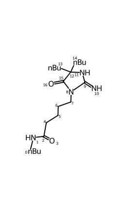 CCCCNC(=O)CCCCN1C(=N)NC(CCCC)(CCCC)C1=O